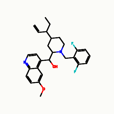 C=CC(CC)C1CCN(Cc2c(F)cccc2F)C(C(O)c2ccnc3ccc(OC)cc23)C1